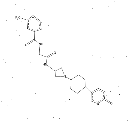 Cn1cc(C2CCC(N3CC(NC(=O)CNC(=O)c4cccc(C(F)(F)F)c4)C3)CC2)ccc1=O